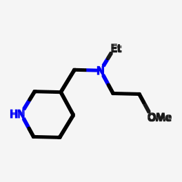 CCN(CCOC)CC1CCCNC1